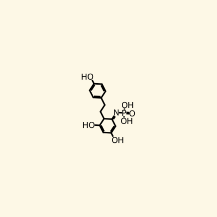 O=P(O)(O)N=C1C=C(O)C=C(O)C1CCc1ccc(O)cc1